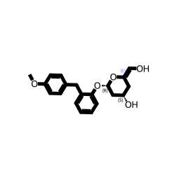 COc1ccc(Cc2ccccc2O[C@H]2C[C@@H](O)C/C(=C\O)O2)cc1